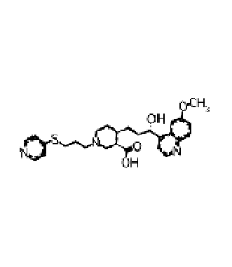 COc1ccc2nccc([C@@H](O)CC[C@@H]3CCN(CCCSc4ccncc4)C[C@@H]3C(=O)O)c2c1